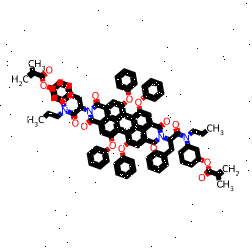 C=C(C)C(=O)OC1CCCC(N(CCC)C(=O)C(Cc2ccccc2)N2C(=O)c3cc(Oc4ccccc4)c4c5c(Oc6ccccc6)cc6c7c(cc(Oc8ccccc8)c(c8c(Oc9ccccc9)cc(c3c48)C2=O)c75)C(=O)N(C(Cc2ccccc2)C(=O)N(CCC)C2CCCC(OC(=O)C(=C)C)C2)C6=O)C1